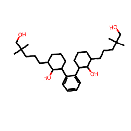 CC(C)(CO)CCCC1CCCC(c2ccccc2C2CCCC(CCCC(C)(C)CO)C2O)C1O